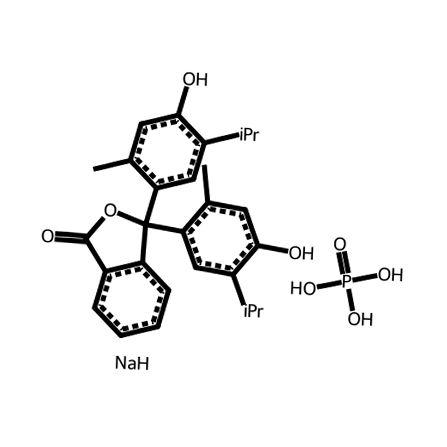 Cc1cc(O)c(C(C)C)cc1C1(c2cc(C(C)C)c(O)cc2C)OC(=O)c2ccccc21.O=P(O)(O)O.[NaH]